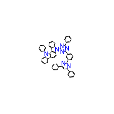 c1ccc(-c2cc(-c3ccccc3)nc(-c3cccc(-c4nc(-c5ccccc5)nc(-n5c6ccccc6c6c5ccc5c7ccccc7n(-c7ccccc7)c56)n4)c3)n2)cc1